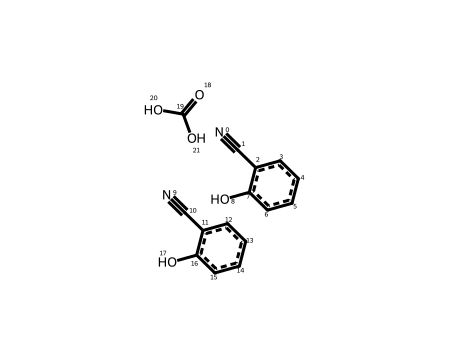 N#Cc1ccccc1O.N#Cc1ccccc1O.O=C(O)O